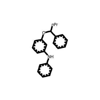 CCCC(Oc1cccc(Nc2ccccc2)c1)c1ccccc1